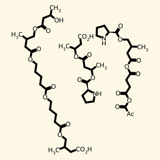 CC(=O)C(=O)OC(=O)CCC(=O)OC(=O)CC(C)COC(=O)[C@@H]1CCCN1.CC(CC(=O)O)OC(=O)CC(C)OC(=O)[C@@H]1CCCN1.CC(O)CC(=O)OCC(C)CC(=O)OCCCCC(=O)OCCCCC(=O)OCC(C)CC(=O)O